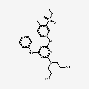 COS(=O)(=O)c1cc(Nc2nc(Nc3ccccc3)nc(N(CCO)CCO)n2)ccc1C